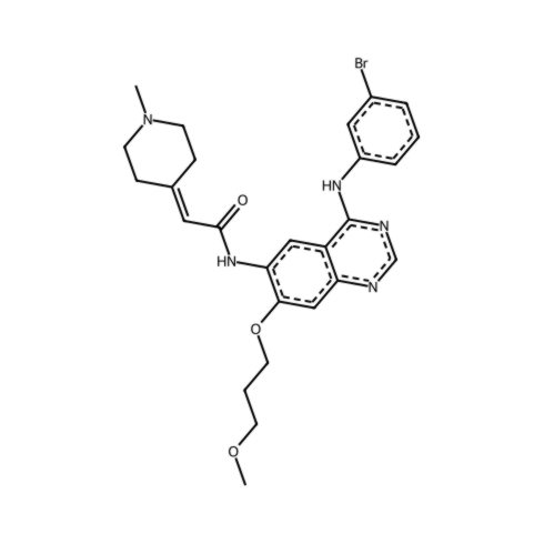 COCCCOc1cc2ncnc(Nc3cccc(Br)c3)c2cc1NC(=O)C=C1CCN(C)CC1